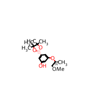 COC[C@H](C)Oc1cc(O)cc(B2OC(C)(C)C(C)(C)O2)c1